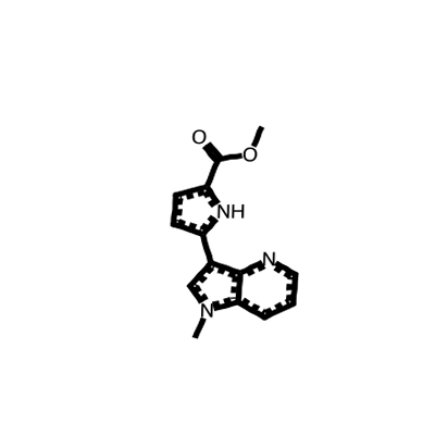 COC(=O)c1ccc(-c2cn(C)c3cccnc23)[nH]1